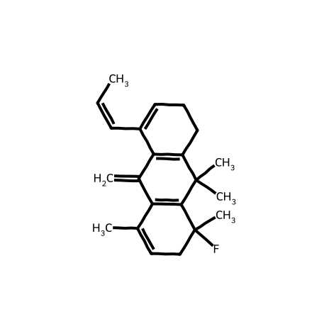 C=C1C2=C(CCC=C2/C=C\C)C(C)(C)C2=C1C(C)=CCC2(C)F